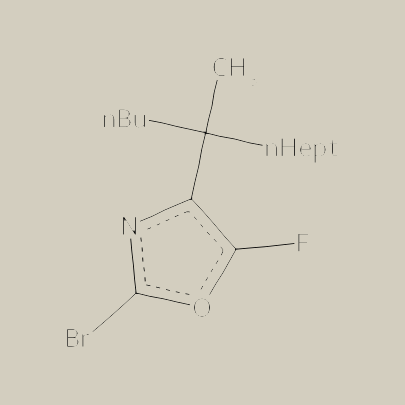 CCCCCCCC(C)(CCCC)c1nc(Br)oc1F